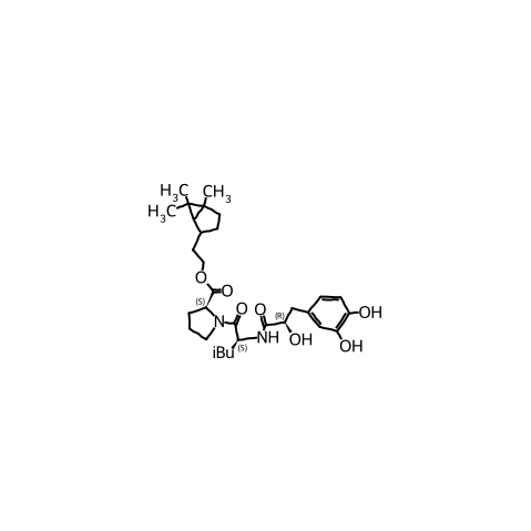 CCC(C)[C@H](NC(=O)[C@H](O)Cc1ccc(O)c(O)c1)C(=O)N1CCC[C@H]1C(=O)OCCC1CCC2(C)C1C2(C)C